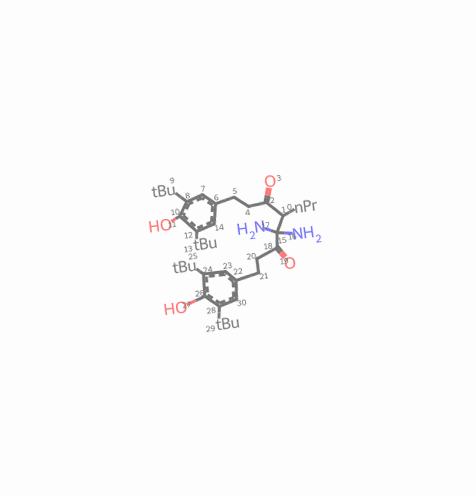 CCCC(C(=O)CCc1cc(C(C)(C)C)c(O)c(C(C)(C)C)c1)C(N)(N)C(=O)CCc1cc(C(C)(C)C)c(O)c(C(C)(C)C)c1